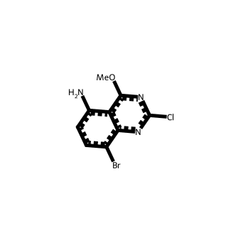 COc1nc(Cl)nc2c(Br)ccc(N)c12